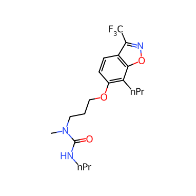 CCCNC(=O)N(C)CCCOc1ccc2c(C(F)(F)F)noc2c1CCC